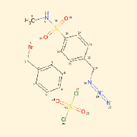 BrCc1ccccc1.CNS(=O)(=O)c1ccc(CN=[N+]=[N-])cc1.O=S(=O)(Cl)Cl